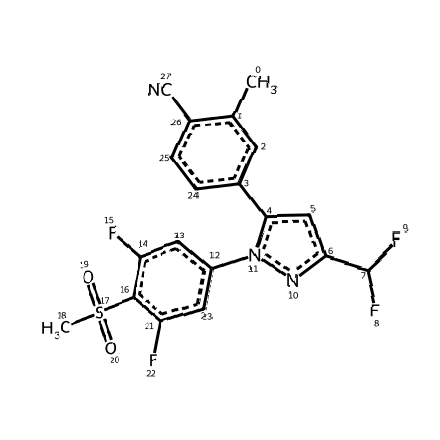 Cc1cc(-c2cc(C(F)F)nn2-c2cc(F)c(S(C)(=O)=O)c(F)c2)ccc1C#N